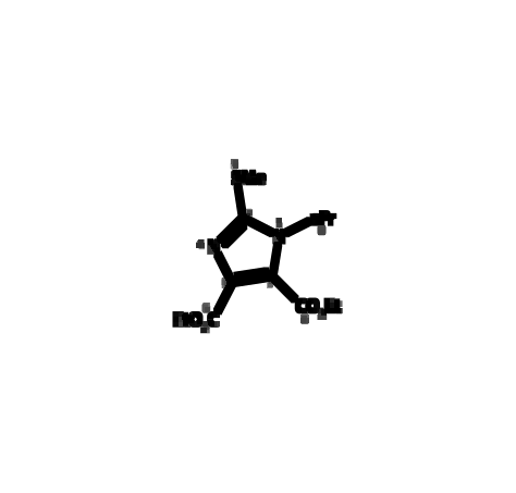 CCCn1c(SC)nc(C(=O)OCC)c1C(=O)OCC